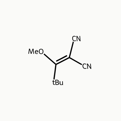 COC(=C(C#N)C#N)C(C)(C)C